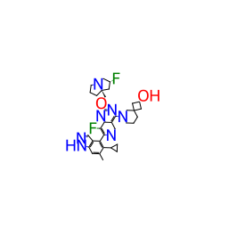 Cc1cc2[nH]ncc2c(-c2ncc3c(N4CCCC5(CC(O)C5)C4)nc(OC[C@@]45CCCN4C[C@H](F)C5)nc3c2F)c1C1CC1